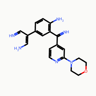 N=C/C(=C\N)c1ccc(N)c(C(=N)c2ccnc(N3CCOCC3)c2)c1